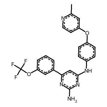 Cc1cc(Oc2ccc(Nc3cc(-c4cccc(OC(F)(F)F)c4)nc(N)n3)cc2)ccn1